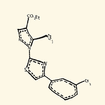 CCOC(=O)c1cnn(-c2nc(-c3cccc(C(F)(F)F)c3)cs2)c1C(F)(F)F